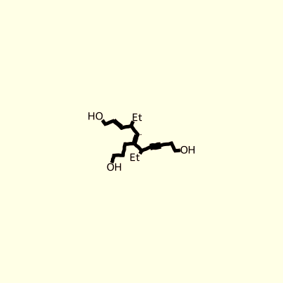 CCC(/[C]=C(\CCCO)C(C#CCCO)CC)C=CCO